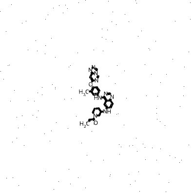 C=CC(=O)N1CCCC(Nc2ccc3ncnc(Nc4ccc(Oc5cc6nncn6cn5)c(C)c4)c3c2)C1